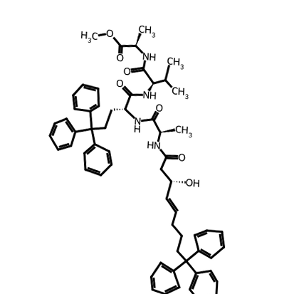 COC(=O)[C@@H](C)NC(=O)[C@H](NC(=O)[C@@H](CCC(c1ccccc1)(c1ccccc1)c1ccccc1)NC(=O)[C@@H](C)NC(=O)C[C@H](O)C=CCCCC(c1ccccc1)(c1ccccc1)c1ccccc1)C(C)C